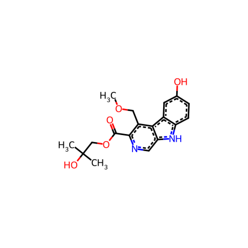 COCc1c(C(=O)OCC(C)(C)O)ncc2[nH]c3ccc(O)cc3c12